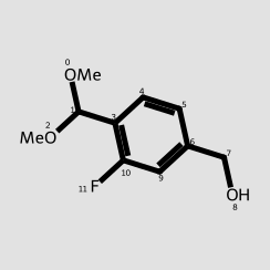 COC(OC)c1ccc(CO)cc1F